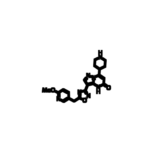 COc1ccc(Cc2nc(-c3cnn4c(C5CCNCC5)cc(=O)[nH]c34)no2)cn1